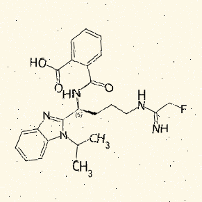 CC(C)n1c([C@H](CCCNC(=N)CF)NC(=O)c2ccccc2C(=O)O)nc2ccccc21